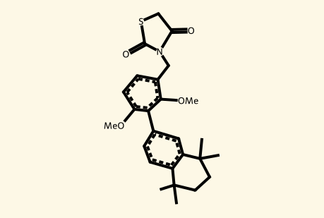 COc1ccc(CN2C(=O)CSC2=O)c(OC)c1-c1ccc2c(c1)C(C)(C)CCC2(C)C